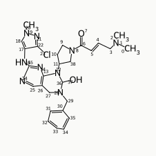 CN(C)C/C=C/C(=O)N1CCC(N2c3nc(Nc4cn(C)nc4Cl)ncc3CN(Cc3ccccc3)C2O)C1